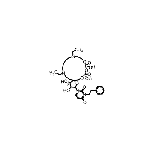 CCN1CCCCN(CC)CCC2(COP(=O)(O)OP(=O)(O)OCC1)OC(n1ccc(=O)n(CCc3ccccc3)c1=O)C(O)[C@H]2O